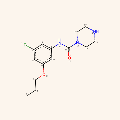 CCCOc1cc(F)cc(NC(=O)N2CCNCC2)c1